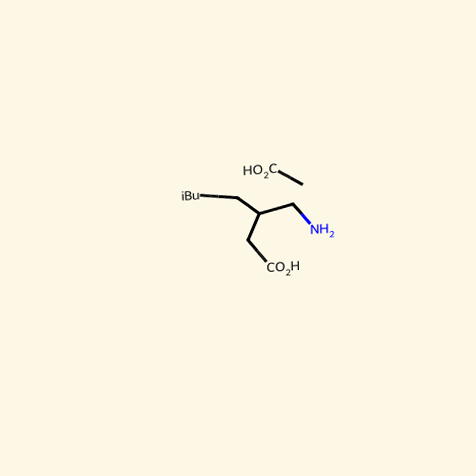 CC(=O)O.CCC(C)CC(CN)CC(=O)O